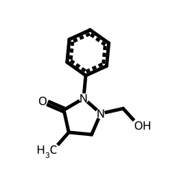 CC1CN(CO)N(c2ccccc2)C1=O